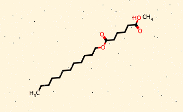 C.CCCCCCCCCCCCOC(=O)CCCCC(=O)O